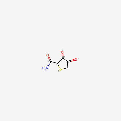 NC(=O)C1SCC(=O)C1=O